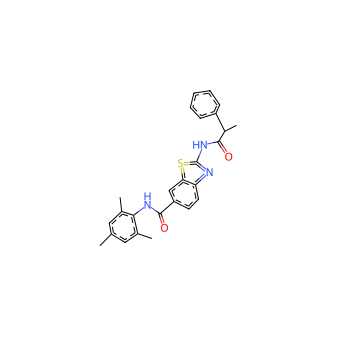 Cc1cc(C)c(NC(=O)c2ccc3nc(NC(=O)C(C)c4ccccc4)sc3c2)c(C)c1